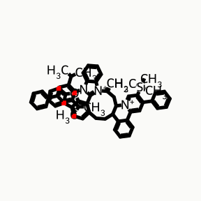 C=C1CC2C(CCc3ccc4c(oc5ccccc54)c3-c3n(-c4c(C(C)C)cc(-c5ccccc5)cc4C(C)C)c4ccccc4[n+]31)c1ccccc1-c1cc(-c3ccccc3)c([Si](C)(C)C)c[n+]12